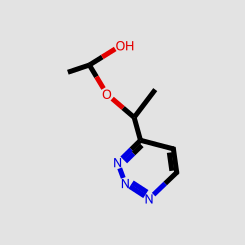 CC(O)OC(C)c1ccnnn1